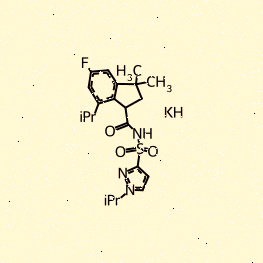 CC(C)c1cc(F)cc2c1C(C(=O)NS(=O)(=O)c1ccn(C(C)C)n1)CC2(C)C.[KH]